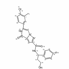 Cc1cc(-c2cn3nc(C(=O)NC(CCO)c4ccc(F)cc4)cc3c(=O)[nH]2)ccc1C(F)(F)F